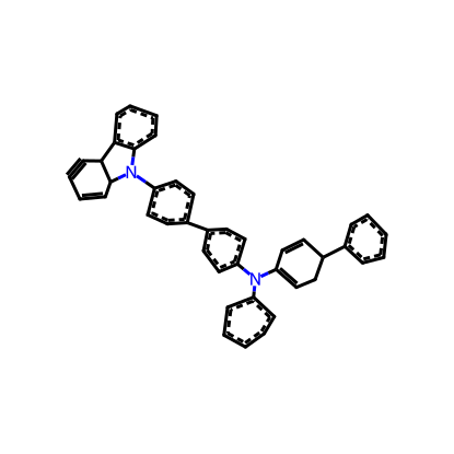 C1#CC2c3ccccc3N(c3ccc(-c4ccc(N(C5=CCC(c6ccccc6)C=C5)c5ccccc5)cc4)cc3)C2C=C1